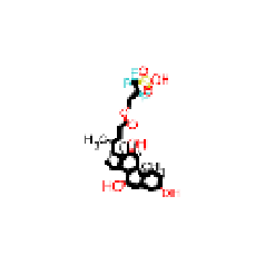 C[C@H](CCC(=O)OCCC(F)C(F)(F)S(=O)(=O)O)[C@H]1CCC2C3C(O)CC4CC(O)CC[C@]4(C)C3CC(O)[C@@]21C